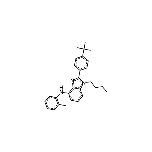 CCCCn1c(-c2ccc(C(C)(C)C)cc2)nc2c(Nc3ccccc3C)cccc21